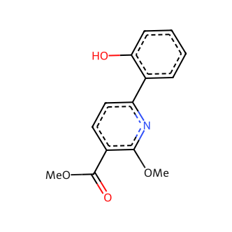 COC(=O)c1ccc(-c2ccccc2O)nc1OC